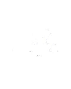 C=C/C=C1\CCC(O)CC1CNC(=O)c1cn(-c2ncccn2)c2cccc(F)c12